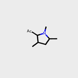 CC(=O)C1C(C)CC(C)N1C